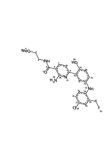 COCCNC(=O)c1ccc(-c2cc(Nc3ccc(Cl)cc3CF)ccc2O)nc1N